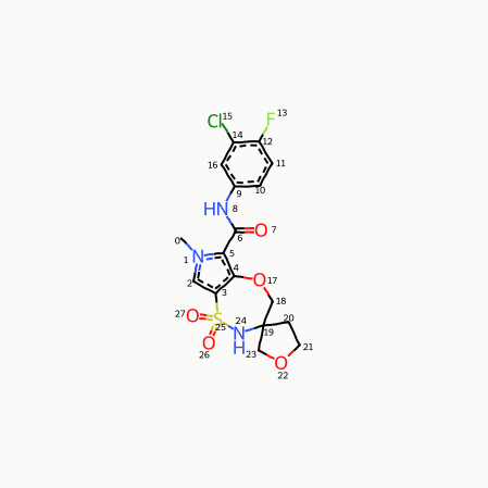 Cn1cc2c(c1C(=O)Nc1ccc(F)c(Cl)c1)OCC1(CCOC1)NS2(=O)=O